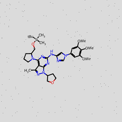 COc1cc(-n2cnc(Nc3nc(N4CCCC4CO[Si](C)(C)C(C)(C)C)c4c(C)nn(C5CCOC5)c4n3)c2)cc(OC)c1OC